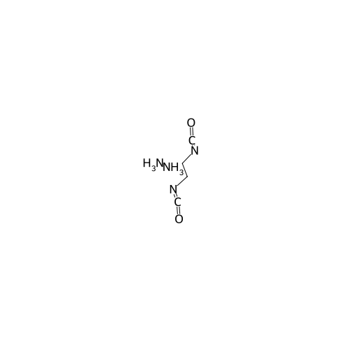 N.N.O=C=NCCN=C=O